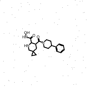 O=C(NO)C1NCC2(CC2)CC1C(=O)N1CCC(c2ccccc2)CC1